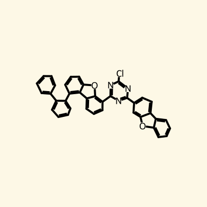 Clc1nc(-c2ccc3c(c2)oc2ccccc23)nc(-c2cccc3c2oc2cccc(-c4ccccc4-c4ccccc4)c23)n1